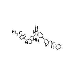 Cc1ccc(-c2nccc3[nH]c(-c4n[nH]c5ccc(-c6cncc(CNCc7ccccc7)c6)cc45)cc23)s1